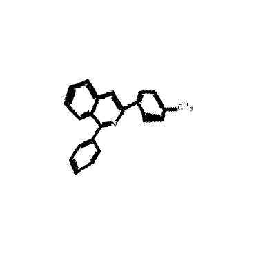 Cc1ccc(-c2cc3ccccc3c(-c3ccccc3)n2)cc1